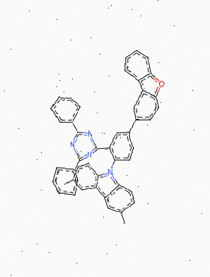 Cc1ccc2c(c1)c1cc(C)ccc1n2-c1ccc(-c2ccc3oc4ccccc4c3c2)cc1-c1nc(-c2ccccc2)nc(-c2ccccc2)n1